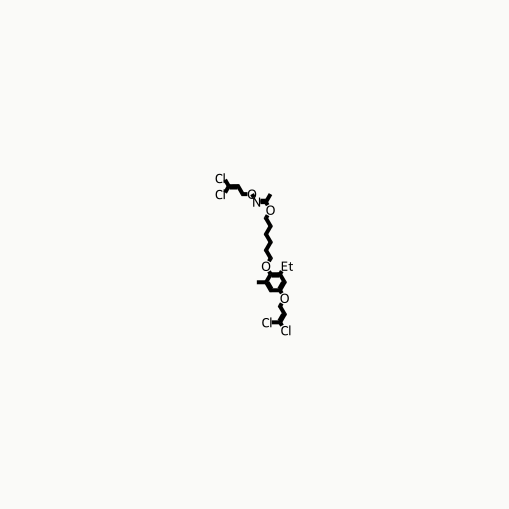 CCc1cc(OCC=C(Cl)Cl)cc(C)c1OCCCCCCOC(C)=NOCC=C(Cl)Cl